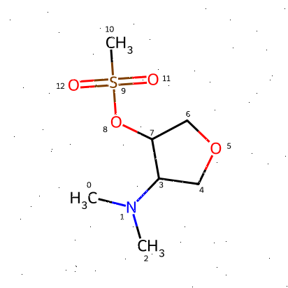 CN(C)C1COCC1OS(C)(=O)=O